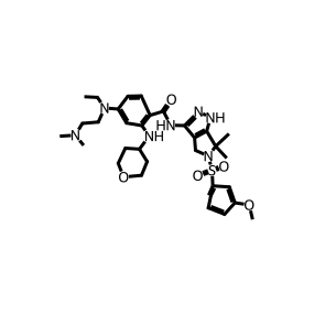 CCN(CCN(C)C)c1ccc(C(=O)Nc2n[nH]c3c2CN(S(=O)(=O)c2cccc(OC)c2)C3(C)C)c(NC2CCOCC2)c1